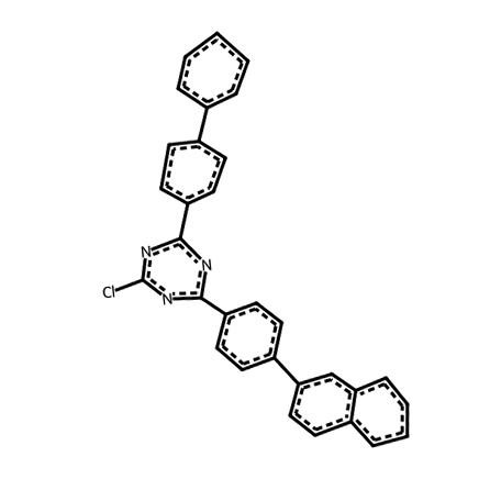 Clc1nc(-c2ccc(-c3ccccc3)cc2)nc(-c2ccc(-c3ccc4ccccc4c3)cc2)n1